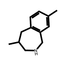 Cc1ccc2c(c1)CNCC(C)C2